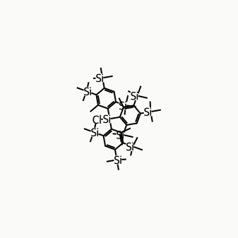 Cc1c([Si](C)(C)C)c([Si](C)(C)C)cc([Si](C)(C)C)c1[Si](Cl)(c1c([Si](C)(C)C)cc([Si](C)(C)C)c([Si](C)(C)C)c1C)c1c([Si](C)(C)C)cc([Si](C)(C)C)c([Si](C)(C)C)c1C